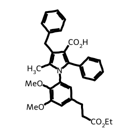 CCOC(=O)CCc1cc(OC)c(OC)c(-n2c(C)c(Cc3ccccc3)c(C(=O)O)c2-c2ccccc2)c1